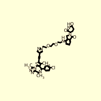 Cc1c(C#Cc2cnn(CCOCCOCCNc3cccc4c3CN(C3CCC(=O)NC3=O)C4=O)c2)sc2c1C(c1ccc(Cl)cc1)=N[C@@H](C)c1nnc(C)n1-2